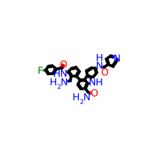 NCc1c(NC(=O)c2ccc(F)cc2)cccc1-c1ccc(C(N)=O)c2[nH]c3cc(NC(=O)c4ccncc4)ccc3c12